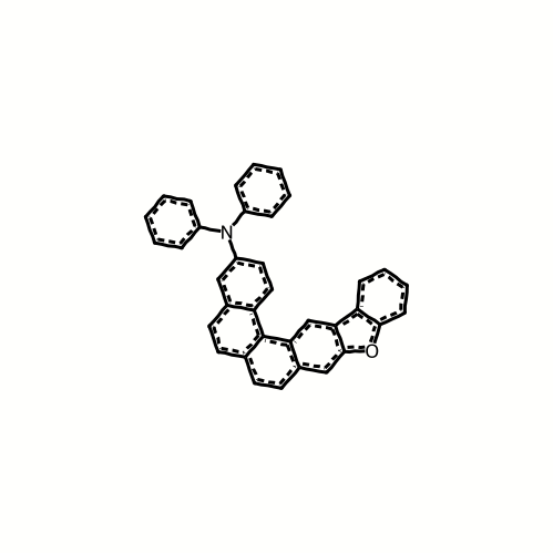 c1ccc(N(c2ccccc2)c2ccc3c(ccc4ccc5cc6oc7ccccc7c6cc5c43)c2)cc1